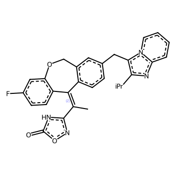 C/C(=C1\c2ccc(Cc3c(C(C)C)nc4ccccn34)cc2COc2cc(F)ccc21)c1noc(=O)[nH]1